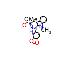 COC(=O)[C@H]1Cc2c(n(C)c3ccccc23)[C@@H](c2ccc3c(c2)OCO3)N1